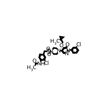 CC(=O)Nc1ccc(CS(=O)(=O)N2CCN(c3cnn(-c4cccc(Cl)c4)c(=O)c3OCC3(C)CC3)CC2)cc1Cl